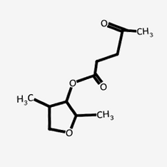 CC(=O)CCC(=O)OC1C(C)COC1C